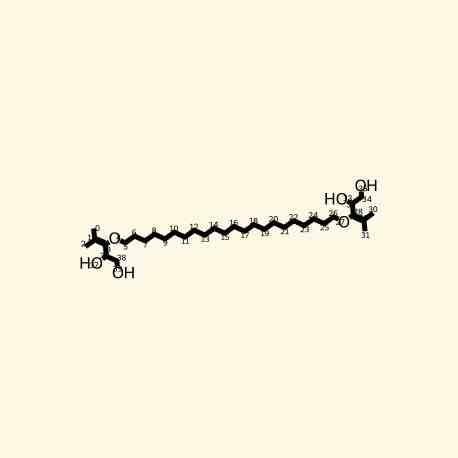 CC(C)=C(OCCCCCCCCCCCCCCCCCCCCCCOC(=C(C)C)C(O)CO)C(O)CO